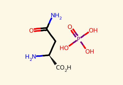 NC(=O)C[C@H](N)C(=O)O.O=P(O)(O)O